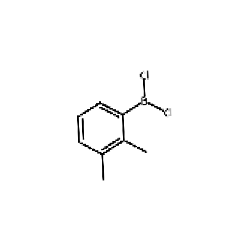 Cc1cccc(B(Cl)Cl)c1C